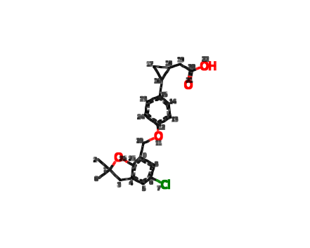 CC1(C)Cc2cc(Cl)cc(COc3ccc(C4CC4CC(=O)O)cc3)c2O1